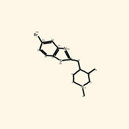 CC1CN(C)CCC1Cc1nc2cc(Br)ccc2s1